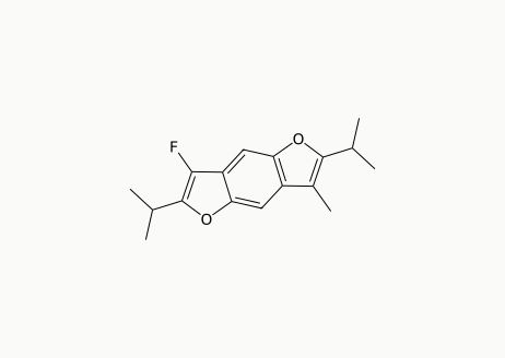 Cc1c(C(C)C)oc2cc3c(F)c(C(C)C)oc3cc12